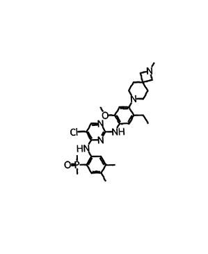 CCc1cc(Nc2ncc(Cl)c(Nc3cc(C)c(C)cc3P(C)(C)=O)n2)c(OC)cc1N1CCC2(CC1)CN(C)C2